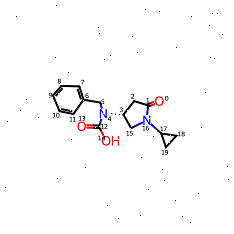 O=C1C[C@@H](N(Cc2ccccc2)C(=O)O)CN1C1CC1